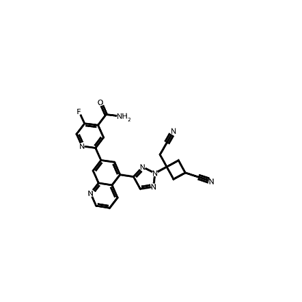 N#CCC1(n2ncc(-c3cc(-c4cc(C(N)=O)c(F)cn4)cc4ncccc34)n2)CC(C#N)C1